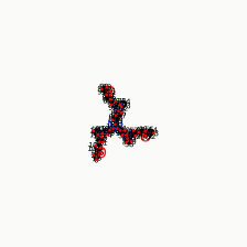 c1ccc2c(c1)oc1cc(-c3ccc4c(c3)c3ccccc3n4-c3ccc(-c4nc(-c5ccc(-n6c7ccccc7c7cc(-c8ccc9c(c8)oc8ccccc89)ccc76)cc5)nc(-c5ccc6cc(-n7c8ccccc8c8cc(-c9ccc%10c(c9)oc9ccccc9%10)ccc87)ccc6c5)n4)cc3)ccc12